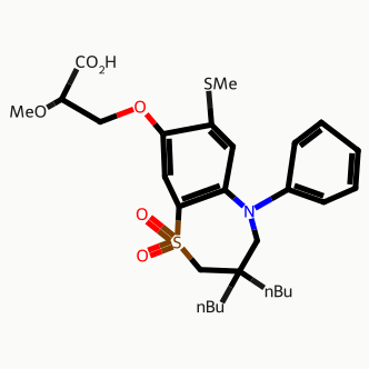 CCCCC1(CCCC)CN(c2ccccc2)c2cc(SC)c(OCC(OC)C(=O)O)cc2S(=O)(=O)C1